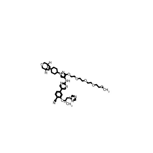 COCCOCCOCCOCCOc1nn(C2CCC(N3[C@@H]4CC[C@H]3COC4)CC2)cc1Nc1ncc(-c2ccc(C#N)c(O[C@@H](C)Cn3cncn3)c2)cn1